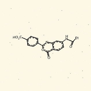 CCC(=O)Nc1ccc2c(=O)oc(-c3ccc(C(=O)O)cc3)nc2c1